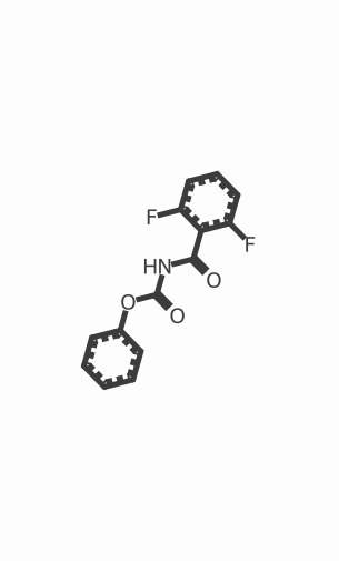 O=C(NC(=O)c1c(F)cccc1F)Oc1ccccc1